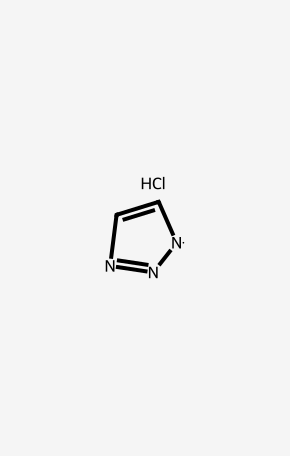 C1=CN=N[N]1.Cl